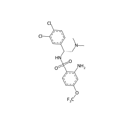 CN(C)C[C@H](NS(=O)(=O)c1ccc(OC(F)(F)F)cc1N)c1ccc(Cl)c(Cl)c1